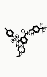 CCN1CCN(c2ccc(C(=O)NCc3ccc(C(F)(F)F)cc3)cc2NS(=O)(=O)c2ccc(C)cc2)CC1